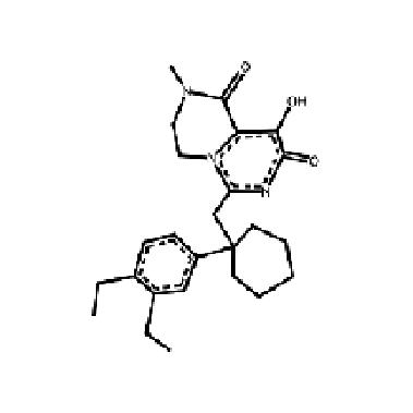 CCc1ccc(C2(Cc3nc(=O)c(O)c4n3CCN(C)C4=O)CCCCC2)cc1CC